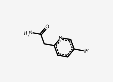 CC(C)c1ccc(CC(N)=O)nc1